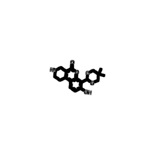 CC1(C)COC(c2c(O)ccc3c4c(c(=O)oc23)CNCC4)OC1